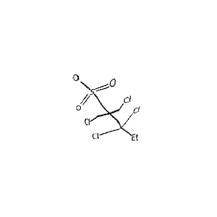 CCC(Cl)(Cl)C(Cl)(Cl)S([O])(=O)=O